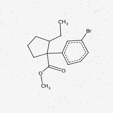 CCC1CCCC1(C(=O)OC)c1cccc(Br)c1